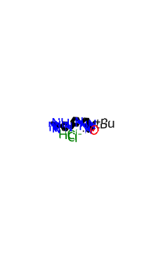 Cl.Cn1c2c(n(CC(C)(C)C)c1=O)=CC=C(N1CCCC(CN3CCC(c4nnc[nH]4)CC3)C1)[N+]=2.[Cl-]